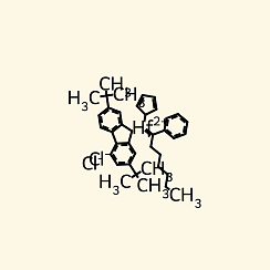 CCCCCC[C](c1ccccc1)=[Hf+2]([CH]1C=CC=C1)[CH]1c2cc(C(C)(C)C)ccc2-c2ccc(C(C)(C)C)cc21.[Cl-].[Cl-]